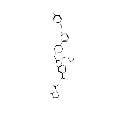 O=C(NCC(=O)N1C[C@@H](F)CC1C(=O)O)c1ccc2c(c1)nc(CN1CCC(c3cccc(OCc4ccc(Cl)cn4)n3)CC1)n2C[C@@H]1CCO1